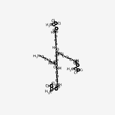 CN1Cc2c(Cl)cc(Cl)cc2[C@H](c2cccc(S(=O)(=O)NCCOCCOCCOCCNC(=O)CN(CCOCCOCCN(CC(=O)NCCOCCOCCOCCNS(=O)(=O)c3cccc([C@@H]4CN(C)Cc5c(Cl)cc(Cl)cc54)c3)CC(=O)NCCOCCOCCOCCNS(=O)(=O)c3cccc([C@@H]4CN(C)Cc5c(Cl)cc(Cl)cc54)c3)CC(=O)NCCOCCOCCOCCN)c2)C1